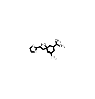 CC1=CC(O)(CCC2OCCO2)CC(C(C)C)C1